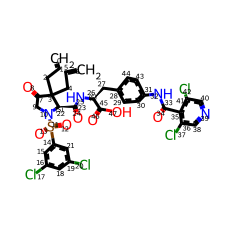 C=CCC1(CC=C)C(=O)CN(S(=O)(=O)c2cc(Cl)cc(Cl)c2)[C@@H]1C(=O)N[C@@H](Cc1ccc(NC(=O)c2c(Cl)cncc2Cl)cc1)C(=O)O